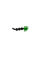 CCCCC[C@H]1CC[C@H](C2CCC(c3ccc(CCC(F)(F)C(F)(F)C(F)(F)F)cc3)CC2)CC1